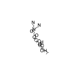 CC(C)CCCC(C)(O)[C@H]1CC[C@H]2[C@@H]3CC=C4C[C@@H](OC(=O)CCC(=O)N(CCCN(C)C)CCCN(C)C)CC[C@]4(C)C3CC[C@]12C